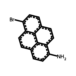 Nc1ccc2ccc3c(Br)ccc4ccc1c2c43